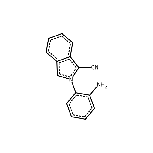 N#Cc1c2ccccc2cn1-c1ccccc1N